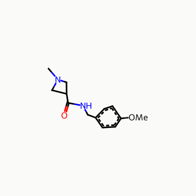 COc1ccc(CNC(=O)C2CN(C)C2)cc1